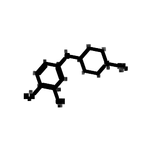 Nc1ccc(OC2CCN(P)CC2)cc1O